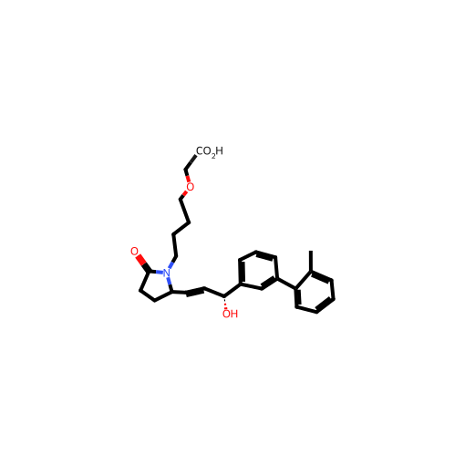 Cc1ccccc1-c1cccc([C@H](O)C=CC2CCC(=O)N2CCCCOCC(=O)O)c1